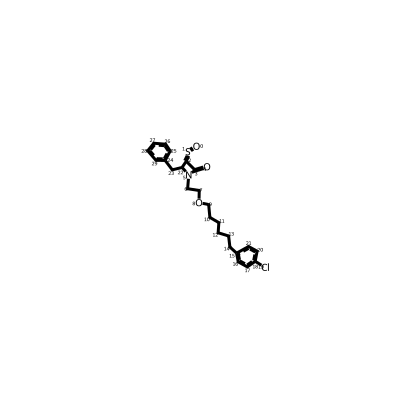 O=S=C1C(=O)N(CCOCCCCCCc2ccc(Cl)cc2)C1Cc1ccccc1